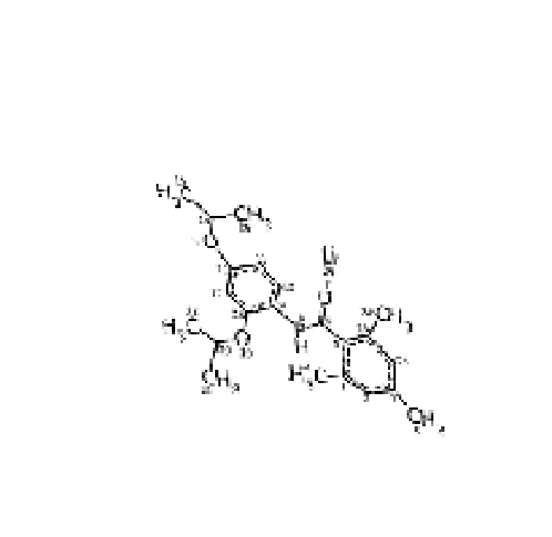 Cc1cc(C)c(C(=O)Pc2ccc(OC(C)C)cc2OC(C)C)c(C)c1.[Li]